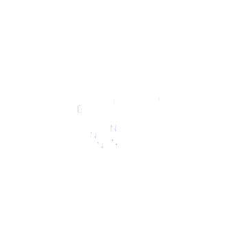 CCSc1nnnn1-c1ccc(Cl)cc1F